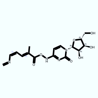 C=N/C=C\C=C(/C)C(=O)ONc1ccn([C@@H]2O[C@H](CO)[C@@H](O)[C@H]2O)c(=O)n1